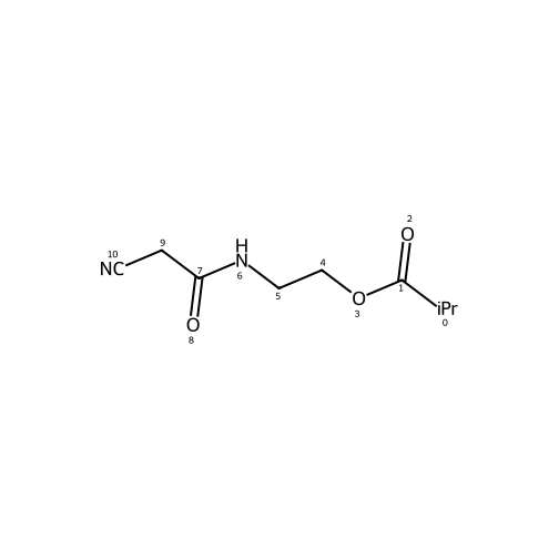 CC(C)C(=O)OCCNC(=O)CC#N